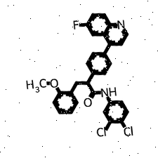 COc1ccccc1CC(C(=O)Nc1ccc(Cl)c(Cl)c1)c1ccc(-c2ccnc3ccc(F)cc23)cc1